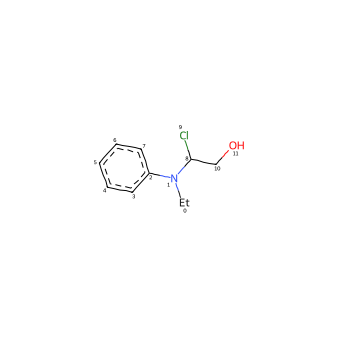 CCN(c1ccccc1)C(Cl)CO